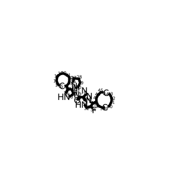 Nc1nn2c(c1C(=O)NC1CNCC(C3CCCCCCCCC3)C1N1CCCCC1)NCC(F)C2C1CCCCCCCCCCC1